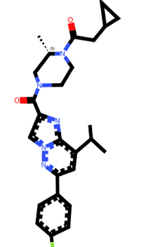 CC(C)c1cc(-c2ccc(F)cc2)nn2cc(C(=O)N3CCN(C(=O)CC4CC4)[C@@H](C)C3)nc12